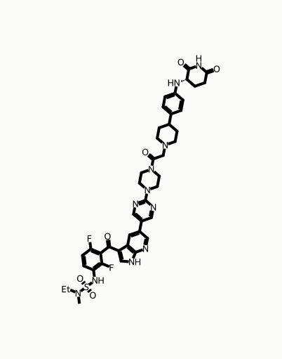 CCN(C)S(=O)(=O)Nc1ccc(F)c(C(=O)c2c[nH]c3ncc(-c4cnc(N5CCN(C(=O)CN6CCC(c7ccc(N[C@H]8CCC(=O)NC8=O)cc7)CC6)CC5)nc4)cc23)c1F